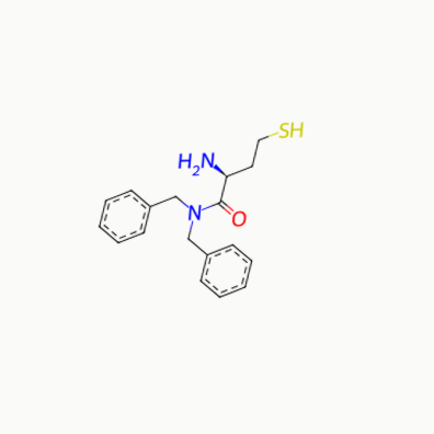 N[C@@H](CCS)C(=O)N(Cc1ccccc1)Cc1ccccc1